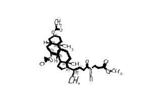 COC(=O)CCNC(=O)CC[C@@H](C)[C@H]1CCC2[C@H]3C(CC[C@@]21C)[C@@]1(C)CC[C@@H](OC(C)=O)C[C@H]1C[C@@H]3OC=O